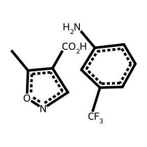 Cc1oncc1C(=O)O.Nc1cccc(C(F)(F)F)c1